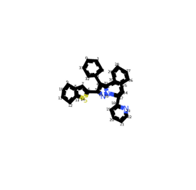 c1ccc(-c2c(-c3cc4ccccc4s3)nn3c(-c4ccccn4)cc4ccccc4c23)cc1